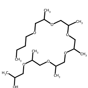 CCCCOCC(C)OCC(C)OCC(C)OCC(C)OCC(C)OCC(C)O